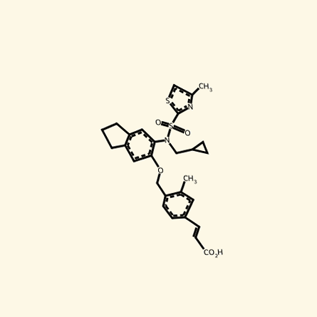 Cc1csc(S(=O)(=O)N(CC2CC2)c2cc3c(cc2OCc2ccc(C=CC(=O)O)cc2C)CCC3)n1